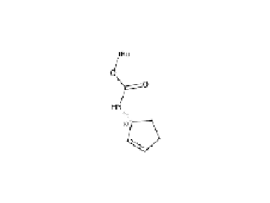 CC(C)(C)OC(=O)N[C@H]1C=CCC1